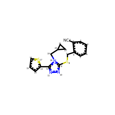 N#Cc1ccccc1CSc1nnc(-c2cccs2)n1CC1CC1